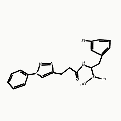 CCc1cccc(CC(NC(=O)CCc2cn(-c3ccccc3)nn2)B(O)O)c1